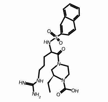 CC[C@H]1CN(C(=O)C(CCCNC(=N)N)NS(=O)(=O)c2ccc3ccccc3c2)CCN1C(=O)O